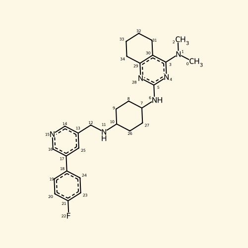 CN(C)c1nc(NC2CCC(NCc3cncc(-c4ccc(F)cc4)c3)CC2)nc2c1CCCC2